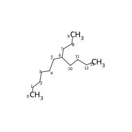 CCCCC[CH]C(CCC)CCCC